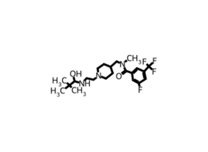 CN(CC1CCN(CCNC(O)C(C)(C)C)CC1)C(=O)c1cc(F)cc(C(F)(F)F)c1